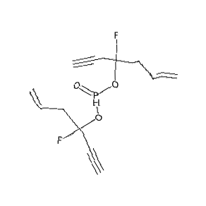 C#CC(F)(CC=C)O[PH](=O)OC(F)(C#C)CC=C